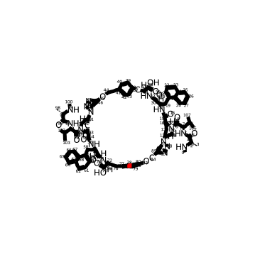 CN[C@@H](C)C(=O)N[C@H](C(=O)N1C[C@@H]2C[C@H]1C(=O)N[C@@H](Cc1cccc3ccccc13)C(=O)N[C@H](C(=O)O)Cc1ccc(cc1)COc1cn(nn1)[C@H]1C[C@@H](C(=O)N[C@@H](Cc3cccc4ccccc34)C(=O)N[C@H](C(=O)O)Cc3ccc(cc3)OCc3cn2nn3)N(C(=O)[C@@H](NC(=O)[C@H](C)NC)C(C)C)C1)C(C)C